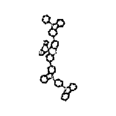 c1ccc(-n2c3ccccc3c3cc(-c4ccc5c(c4)C4(c6ccc(-c7ccc8c(c7)c7ccccc7n8-c7ccc(-n8c9ccccc9c9ccccc98)cc7)cc6S5)c5cccnc5-c5ncccc54)ccc32)cc1